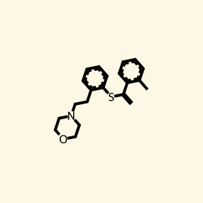 C=C(Sc1ccccc1CCN1CCOCC1)c1ccccc1C